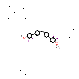 FC(F)(F)Oc1ccc(-c2ccc(Cc3ccc(-c4ccc(OC(F)(F)F)c(I)c4I)cc3)cc2)c(I)c1I